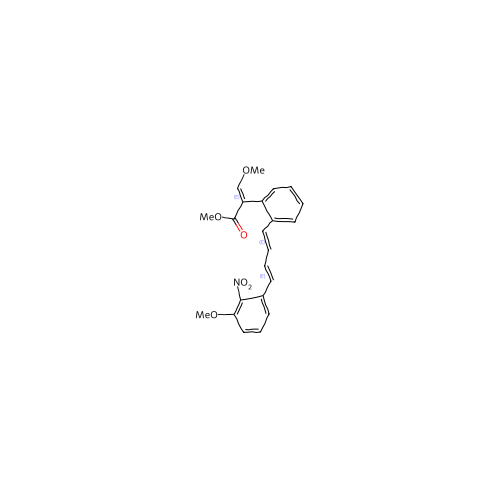 CO/C=C(/C(=O)OC)c1ccccc1/C=C/C=C/c1cccc(OC)c1[N+](=O)[O-]